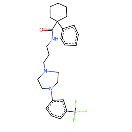 O=C(NCCCN1CCN(c2cccc(C(F)(F)F)c2)CC1)C1(c2ccccc2)CCCCC1